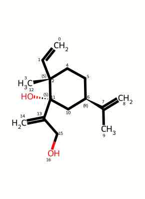 C=C[C@]1(C)CC[C@@H](C(=C)C)C[C@@]1(O)C(=C)CO